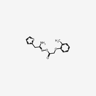 Cc1ccccc1OCC(=O)O/N=C(\N)Cc1cccs1